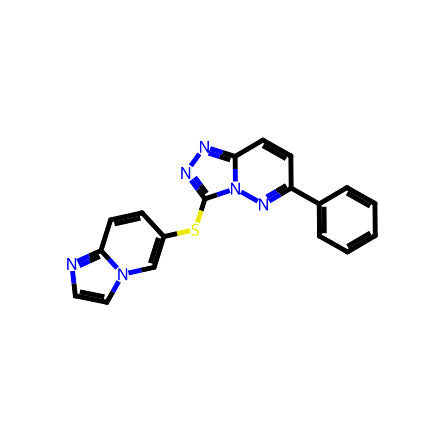 c1ccc(-c2ccc3nnc(Sc4ccc5nccn5c4)n3n2)cc1